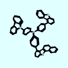 c1ccc2c(c1)ccc1c2oc2cccc(-c3ccc(N(c4ccc(-c5cccc6oc7ccccc7c56)cc4)c4ccc(-n5c6ccccc6c6ccccc65)cc4)cc3)c21